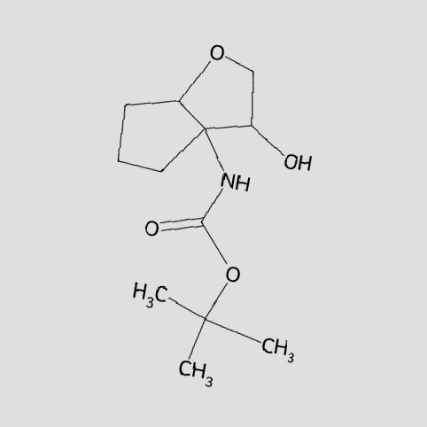 CC(C)(C)OC(=O)NC12CCCC1OCC2O